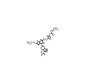 CCCc1cc2c(N3CCn4c(nnc4C(F)(F)F)C3)nc(OCc3nc(CC(=O)OCC)co3)nc2s1